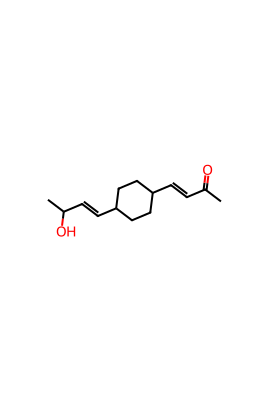 CC(=O)/C=C/C1CCC(/C=C/C(C)O)CC1